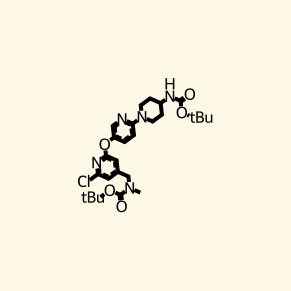 CN(Cc1cc(Cl)nc(Oc2ccc(N3CCC(NC(=O)OC(C)(C)C)CC3)nc2)c1)C(=O)OC(C)(C)C